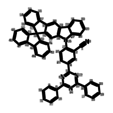 N#Cc1cc(-c2nc(-c3ccccc3)nc(-c3ccccc3)n2)ccc1-n1c2ccccc2c2cc3c(cc21)C1(c2ccccc2-c2ccccc21)c1ccccc1-3